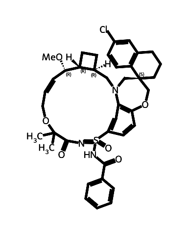 CO[C@H]1C=CCOC(C)(C)C(=O)N=S(=O)(NC(=O)c2ccccc2)c2ccc3c(c2)N(C[C@@H]2CC[C@H]21)C[C@@]1(CCCc2cc(Cl)ccc21)CO3